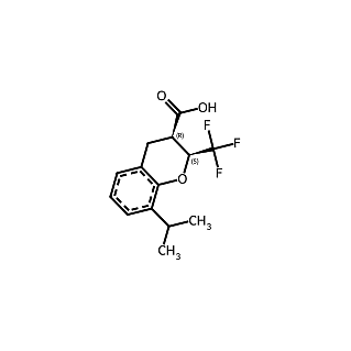 CC(C)c1cccc2c1O[C@H](C(F)(F)F)[C@H](C(=O)O)C2